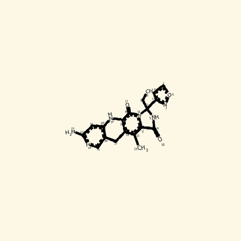 CCC1(c2ccon2)NC(=O)c2c(C)c3c(c(=O)n21)Nc1cc(N)ncc1C3